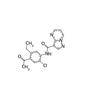 CCc1cc(NC(=O)c2cnn3cccnc23)c(Cl)cc1C(C)=O